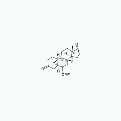 COC1C[C@@H]2[C@H](CC[C@]3(C)C(=O)CC[C@@H]23)[C@@]2(C)CCC(=O)C[C@H]12